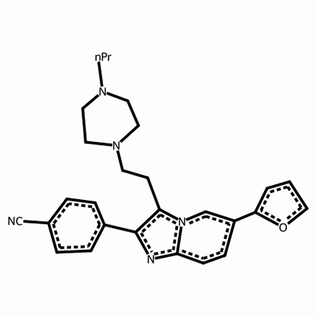 CCCN1CCN(CCc2c(-c3ccc(C#N)cc3)nc3ccc(-c4ccco4)cn23)CC1